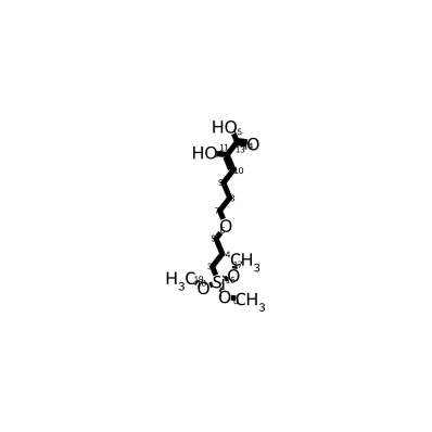 CO[Si](CCCOCCCC=C(O)C(=O)O)(OC)OC